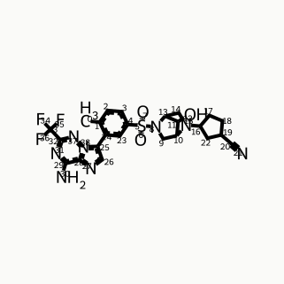 Cc1ccc(S(=O)(=O)N2CC3C(O)C2CN3C2CCC(C#N)C2)cc1-c1cnc2c(N)nc(C(F)(F)F)nn12